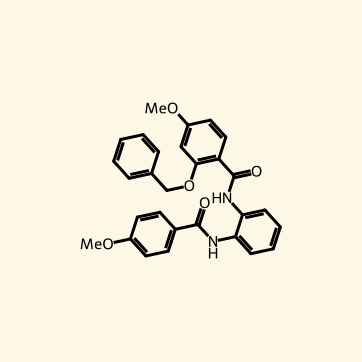 COc1ccc(C(=O)Nc2ccccc2NC(=O)c2ccc(OC)cc2OCc2ccccc2)cc1